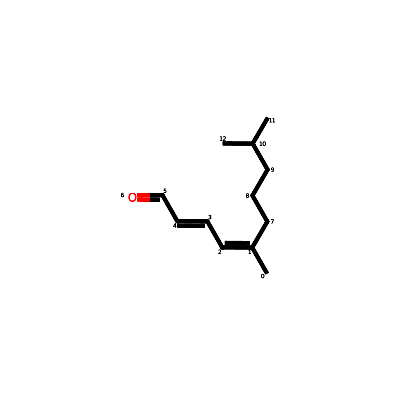 CC(=CC=CC=O)CCCC(C)C